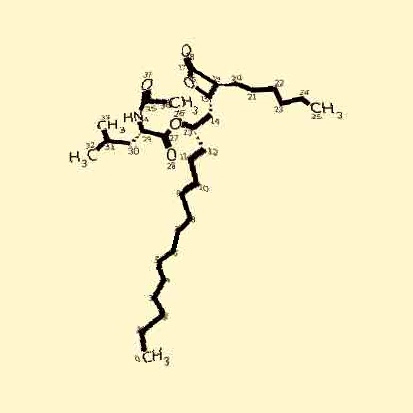 CCCCCCCCCCCCC[C@@H](C[C@@H]1OC(=O)[C@H]1CCCCCC)OC(=O)[C@H](CC(C)C)NC(C)=O